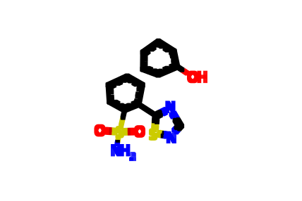 NS(=O)(=O)c1ccccc1-c1ncns1.Oc1ccccc1